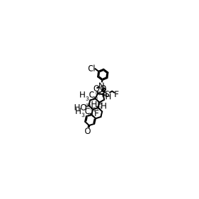 C[C@]12C=CC(=O)C=C1CC[C@H]1[C@@H]3C[C@H]4CN(c5cccc(Cl)c5)O[C@@]4(C(=O)SCF)[C@@]3(C)C[C@H](O)[C@@]12F